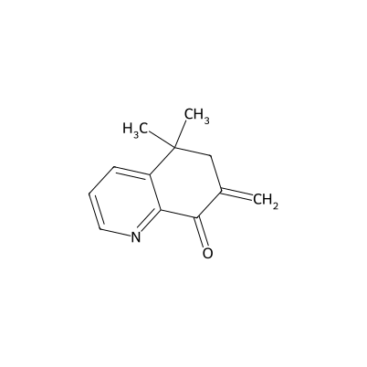 C=C1CC(C)(C)c2cccnc2C1=O